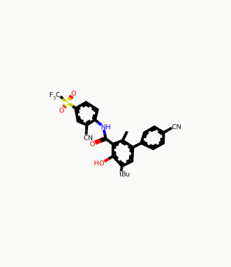 Cc1c(-c2ccc(C#N)cc2)cc(C(C)(C)C)c(O)c1C(=O)Nc1ccc(S(=O)(=O)C(F)(F)F)cc1C#N